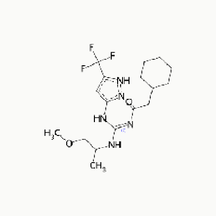 COCC(C)N/C(=N/C(=O)CC1CCCCC1)Nc1cc(C(F)(F)F)[nH]n1